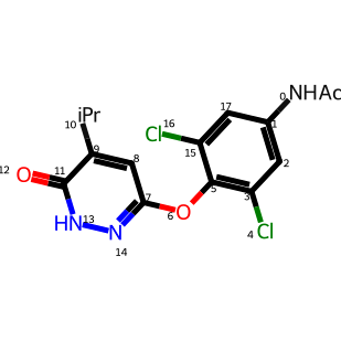 CC(=O)Nc1cc(Cl)c(Oc2cc(C(C)C)c(=O)[nH]n2)c(Cl)c1